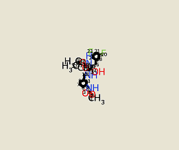 COC(=O)Nc1cccc(CNCC(O)[C@H](Cc2cc(F)cc(F)c2)NC(=O)OC(C)(C)C)c1